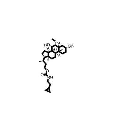 CC[C@H]1[C@@H](O)[C@@H]2[C@H](CC[C@]3(C)[C@@H]([C@H](C)CCOC(=O)NCCC4CC4)CC[C@@H]23)[C@@]2(C)CC[C@@H](O)C[C@@H]12